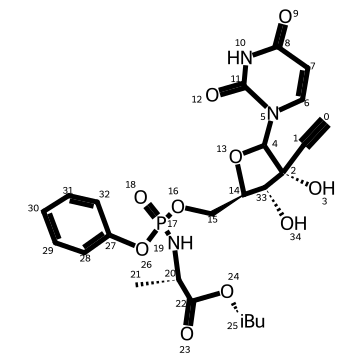 C#C[C@]1(O)C(n2ccc(=O)[nH]c2=O)O[C@H](COP(=O)(N[C@@H](C)C(=O)O[C@@H](C)CC)Oc2ccccc2)[C@H]1O